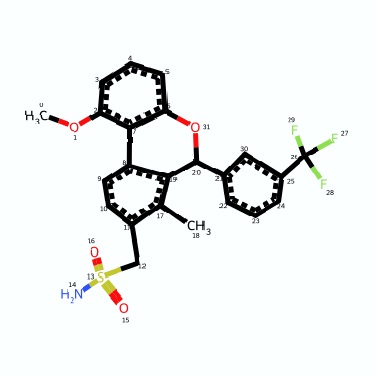 COc1cccc2c1-c1ccc(CS(N)(=O)=O)c(C)c1C(c1cccc(C(F)(F)F)c1)O2